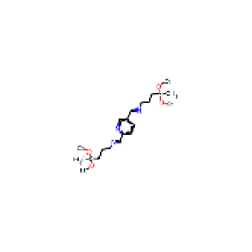 CCO[Si](C)(CCC/N=C/c1ccc(/C=N/CCC[Si](C)(OCC)OCC)nc1)OCC